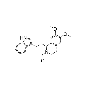 COc1cc2c(cc1OC)C(CCc1c[nH]c3ccccc13)N(C=O)CC2